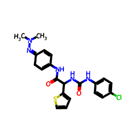 CN(C)N=C1C=CC(NC(=O)C(NC(=O)Nc2ccc(Cl)cc2)c2cccs2)=CC1